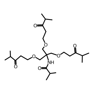 CC(C)C(=O)CCOCC(COCCC(=O)C(C)C)(COCCC(=O)C(C)C)NC(=O)C(C)C